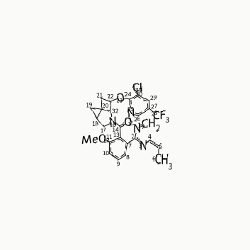 C=N/C(=N\C=C/C)c1cccc(OC)c1C(=O)N1CC2CC23CC(Oc2ncc(C(F)(F)F)cc2Cl)C13